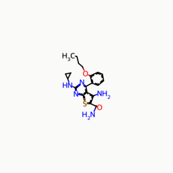 CCCCOc1ccccc1-c1nc(NC2CC2)nc2sc(C(N)=O)c(N)c12